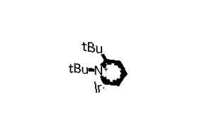 CC(C)(C)c1cccc[n+]1C(C)(C)C.[Ir]